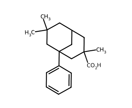 CC1(C)CC2CC(C)(C(=O)O)CC(c3ccccc3)(C2)C1